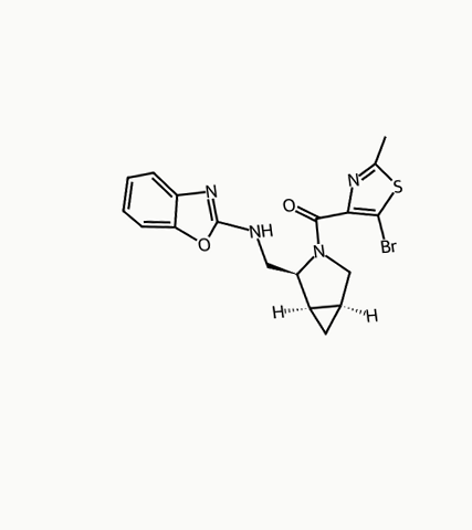 Cc1nc(C(=O)N2C[C@H]3C[C@H]3[C@H]2CNc2nc3ccccc3o2)c(Br)s1